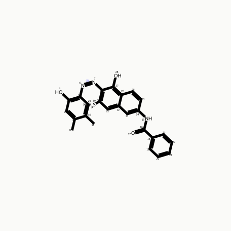 Cc1cc(O)c(/N=N\c2c(S(=O)(=O)O)cc3cc(NC(=O)c4ccccc4)ccc3c2O)cc1C